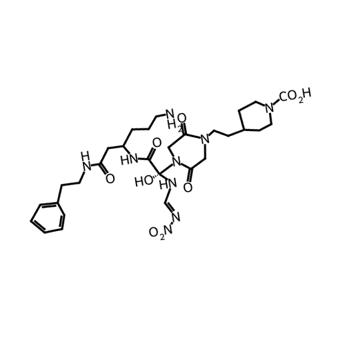 NCCCC(CC(=O)NCCc1ccccc1)NC(=O)[C@](O)(NC=N[N+](=O)[O-])N1CC(=O)N(CCC2CCN(C(=O)O)CC2)CC1=O